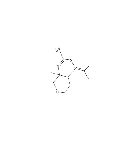 CC(C)=C1SC(N)=NC2(C)COCCC12